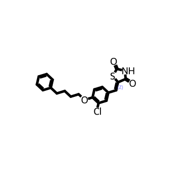 O=C1NC(=O)/C(=C/c2ccc(OCCCCc3ccccc3)c(Cl)c2)S1